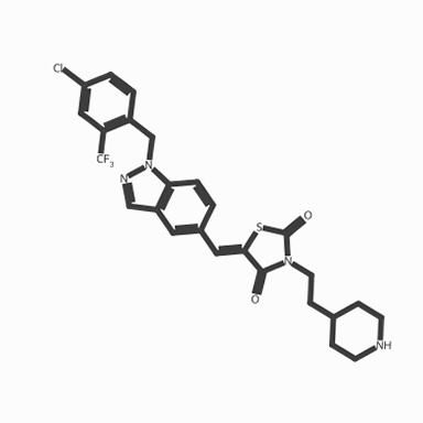 O=C1S/C(=C\c2ccc3c(cnn3Cc3ccc(Cl)cc3C(F)(F)F)c2)C(=O)N1CCC1CCNCC1